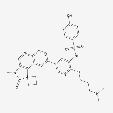 CN(C)CCCOc1ncc(-c2ccc3ncc4c(c3c2)C2(CCC2)C(=O)N4C)cc1NS(=O)(=O)c1ccc(O)cc1